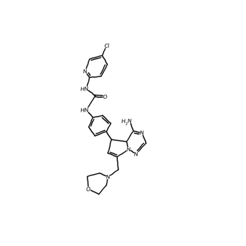 NC1=NC=NN2C(CN3CCOCC3)=CC(c3ccc(NC(=O)Nc4ccc(Cl)cn4)cc3)C12